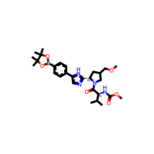 COCC1C[C@@H](c2ncc(-c3ccc(B4OC(C)(C)C(C)(C)O4)cc3)[nH]2)N(C(=O)[C@@H](NC(=O)OC)C(C)C)C1